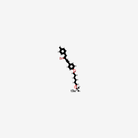 Cc1ccc(/C=C(\Br)C#Cc2ccc(OCCCCCCO[Si](C)(C)C(C)(C)C)cc2)cc1